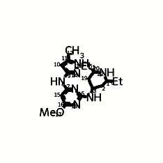 CCC1CC(Nc2nc(Nc3cc(C)[nH]n3)cc(OC)n2)CC(CC)N1